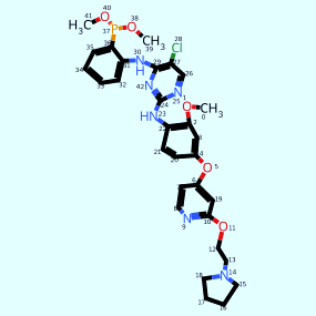 COc1cc(Oc2ccnc(OCCN3CCCC3)c2)ccc1Nc1ncc(Cl)c(Nc2ccccc2P(OC)OC)n1